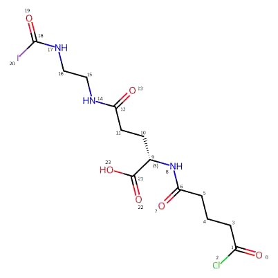 O=C(Cl)CCCC(=O)N[C@@H](CCC(=O)NCCNC(=O)I)C(=O)O